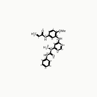 C=CC(=O)Nc1ccc(OC)c(Nc2cc(N(C)C(=O)Nc3ccccc3)ncn2)c1